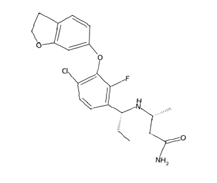 CC[C@@H](N[C@H](C)CC(N)=O)c1ccc(Cl)c(Oc2ccc3c(c2)OCC3)c1F